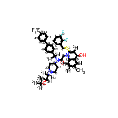 [2H]C1=C(SCc2cccc(F)c2F)N(CC(=O)N(C2CCN(C([2H])([2H])C([2H])([2H])OC([2H])([2H])[2H])CC2)C([2H])([2H])c2ccc(-c3ccc(C(F)(F)F)cc3)cc2)c2c([2H])c([2H])c(C)c([2H])c2C1O